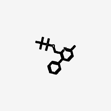 Cc1ccc(-c2ccccc2)c(CO[Si](C)(C)C(C)(C)C)n1